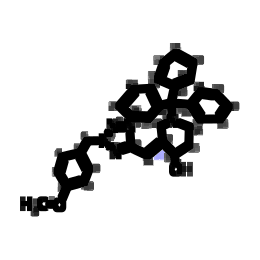 COc1ccc(Cn2nnc(/C=C3\CN(C(c4ccccc4)(c4ccccc4)c4ccccc4)CCC3O)n2)cc1